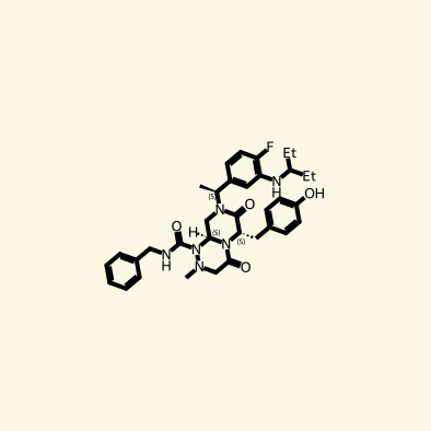 CCC(CC)Nc1cc([C@H](C)N2C[C@H]3N(C(=O)CN(C)N3C(=O)NCc3ccccc3)[C@@H](Cc3ccc(O)cc3)C2=O)ccc1F